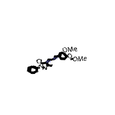 COCOc1ccc(/C=C/C=C2/C(=O)N(c3ccccc3)N=C2C)cc1OC